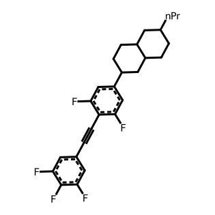 CCCC1CCC2CC(c3cc(F)c(C#Cc4cc(F)c(F)c(F)c4)c(F)c3)CCC2C1